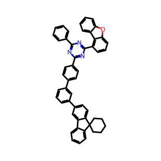 c1ccc(-c2nc(-c3ccc(-c4cccc(-c5ccc6c(c5)-c5ccccc5C65CCCCC5)c4)cc3)nc(-c3cccc4oc5ccccc5c34)n2)cc1